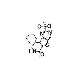 CS(=O)(=O)c1ncc2sc3c(c2n1)C1(CCCCC1)CNC3=O